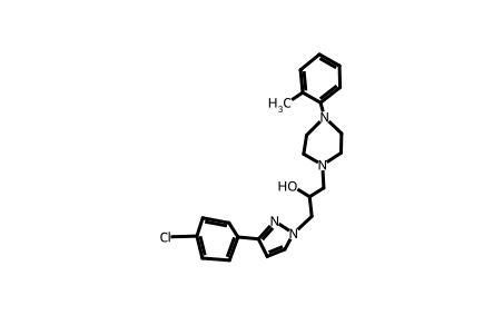 Cc1ccccc1N1CCN(CC(O)Cn2ccc(-c3ccc(Cl)cc3)n2)CC1